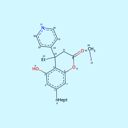 CCCCCCCc1cc(O)c2c(c1)OC(=O)CC2(CC)c1ccncc1.CI